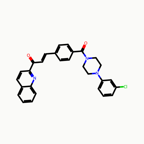 O=C(C=Cc1ccc(C(=O)N2CCN(c3cccc(Cl)c3)CC2)cc1)c1ccc2ccccc2n1